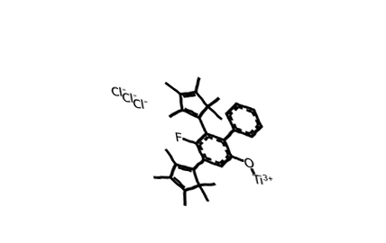 CC1=C(C)C(C)(C)C(c2cc([O][Ti+3])c(-c3ccccc3)c(C3=C(C)C(C)=C(C)C3(C)C)c2F)=C1C.[Cl-].[Cl-].[Cl-]